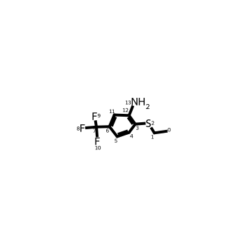 CCSc1ccc(C(F)(F)F)cc1N